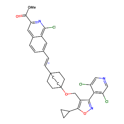 COC(=O)c1cc2ccc(/C=C/C34CCC(OCc5c(-c6c(Cl)cncc6Cl)noc5C5CC5)(CC3)CC4)cc2c(Cl)n1